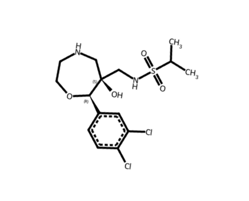 CC(C)S(=O)(=O)NC[C@@]1(O)CNCCO[C@@H]1c1ccc(Cl)c(Cl)c1